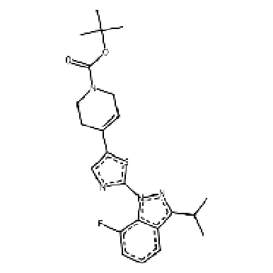 CC(C)c1nn(-c2ncc(C3=CCN(C(=O)OC(C)(C)C)CC3)s2)c2c(F)cccc12